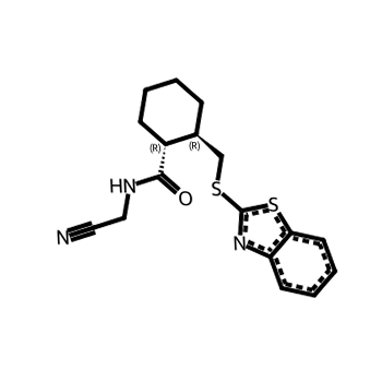 N#CCNC(=O)[C@@H]1CCCC[C@H]1CSc1nc2ccccc2s1